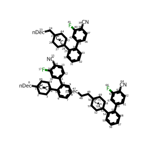 CCCCCCCCCCC12CCC(c3ccccc3-c3ccc(C#N)c(F)c3)(CC1)CC2.CCCCCCCCCCCC12CCC(c3ccccc3-c3ccc(C#N)c(F)c3)(CC1)CC2.CCCCCCCCCCCCC12CCC(c3ccccc3-c3ccc(C#N)c(F)c3)(CC1)CC2